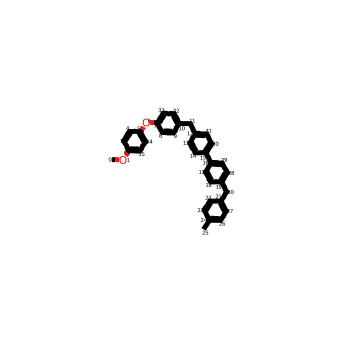 COc1ccc(Oc2ccc(Cc3ccc(-c4ccc(Cc5ccc(C)cc5)cc4)cc3)cc2)cc1